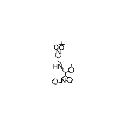 Cc1cccc(C(CCNCCC2CCN(C(=O)OC(C)(C)C)CC2)c2cn(Cc3ccccc3)c3ccccc23)c1